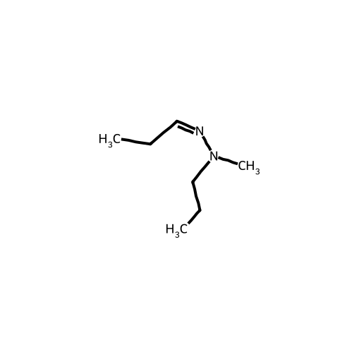 CC/C=N\N(C)CCC